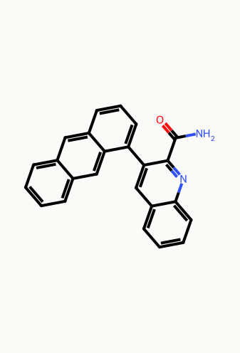 NC(=O)c1nc2ccccc2cc1-c1cccc2cc3ccccc3cc12